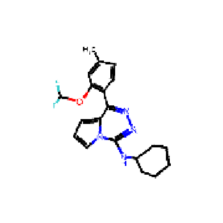 Cc1ccc(-c2nnc(NC3CCCCC3)n3cccc23)c(OC(F)F)c1